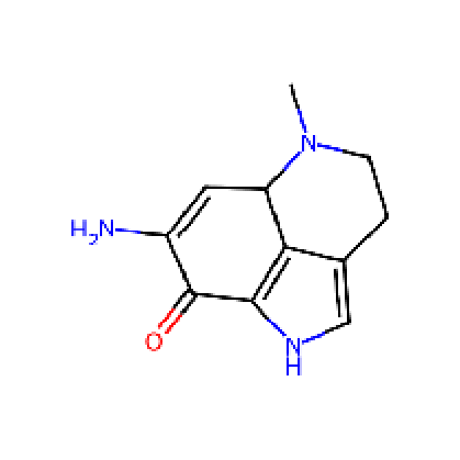 CN1CCc2c[nH]c3c2C1C=C(N)C3=O